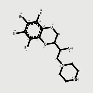 OC(CN1CCNCC1)C1COc2c(Br)c(Br)c(Br)c(Br)c2O1